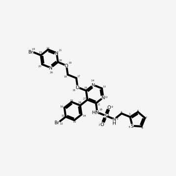 O=S(=O)(NCc1cccs1)Nc1ncnc(OCCOc2ncc(Br)cn2)c1-c1ccc(Br)cc1